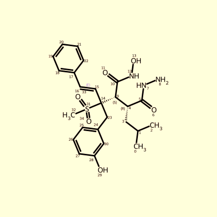 CC(C)C[C@@H](C(=O)NN)[C@@H](C(=O)NO)C(/C=C/c1ccccc1)(Cc1cccc(O)c1)S(C)(=O)=O